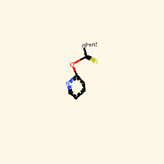 CCCCCC(=S)Oc1ccccn1